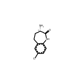 N[C@H]1CCc2cc(Cl)ccc2NC1=O